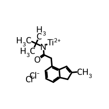 CC1=Cc2c(CC(=O)[N]([Ti+2])C(C)(C)C)cccc2C1.[Cl-].[Cl-]